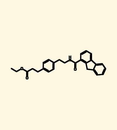 CCOC(=O)CCc1ccc(CCNC(=O)c2cccc3c2Cc2ccccc2-3)cc1